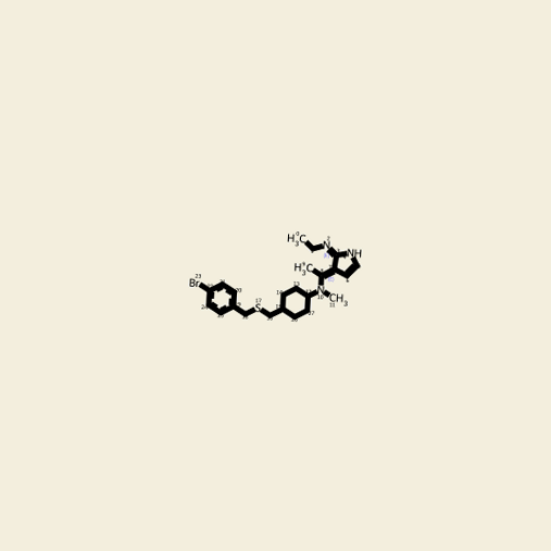 CC/N=C1/NC=C/C1=C(/C)N(C)C1CCC(CSCc2ccc(Br)cc2)CC1